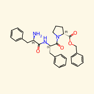 N[C@H](Cc1ccccc1)C(=O)N[C@@H](Cc1ccccc1)C(=O)N1CCC[C@@H]1C(=O)OCc1ccccc1